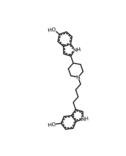 Oc1ccc2[nH]c(C3CCN(CCCCc4c[nH]c5ccc(O)cc45)CC3)cc2c1